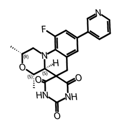 C[C@@H]1CN2c3c(F)cc(-c4cccnc4)cc3CC3(C(=O)NC(=O)NC3=O)[C@H]2[C@H](C)O1